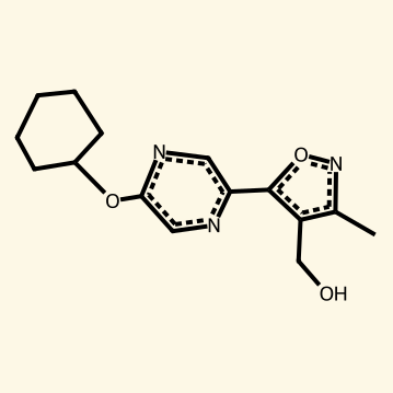 Cc1noc(-c2cnc(OC3CCCCC3)cn2)c1CO